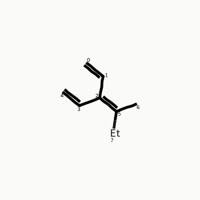 C=CC(C=C)=C(C)CC